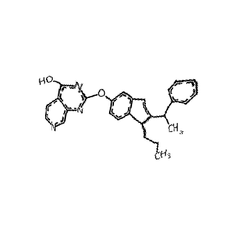 CCCC1C(C(C)c2ccccc2)=Cc2cc(Oc3nc(O)c4ccncc4n3)ccc21